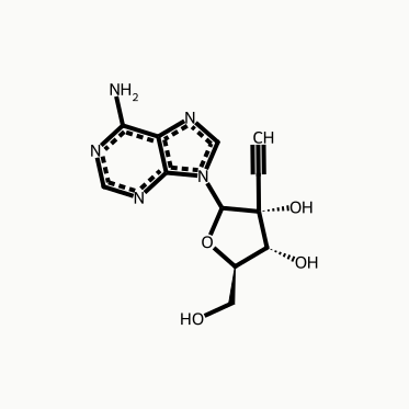 C#C[C@]1(O)C(n2cnc3c(N)ncnc32)O[C@H](CO)[C@H]1O